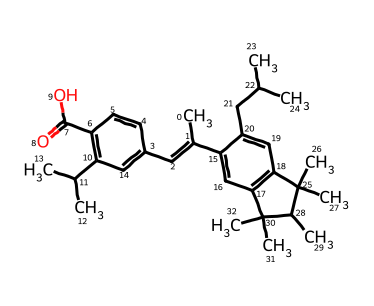 C/C(=C\c1ccc(C(=O)O)c(C(C)C)c1)c1cc2c(cc1CC(C)C)C(C)(C)C(C)C2(C)C